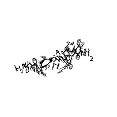 CO[C@]12[C@@H](NC(=O)OCc3ccc(NC(=O)[C@@H](N)CC(N)=O)cc3)CCN1C1=C(C(=O)C(N)=C(C)C1=O)[C@H]2COC(N)=O